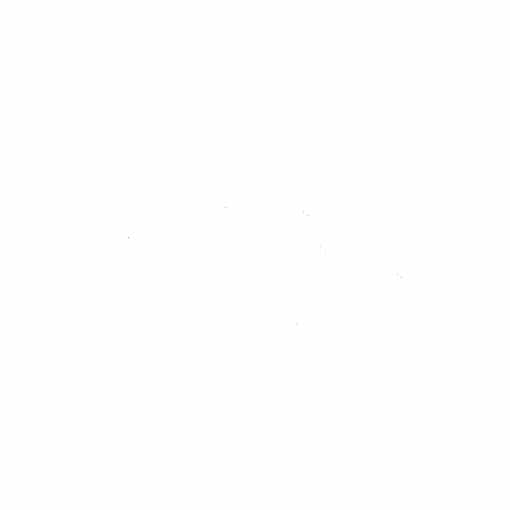 N#CCC(=O)NC(Sc1ncccc1C(=O)Nc1ccc(OC(F)(F)F)cc1)c1ccncc1